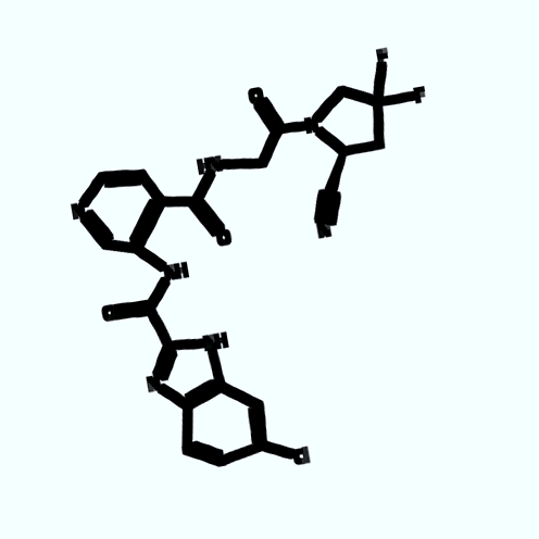 N#C[C@@H]1CC(F)(F)CN1C(=O)CNC(=O)c1ccncc1NC(=O)c1nc2ccc(Cl)cc2[nH]1